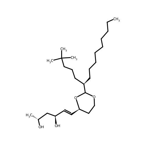 CCCCCCCCC[C@H](CCCC(C)(C)C)C1OCC[C@@H](C=C[C@@H](O)C[C@@H](C)O)O1